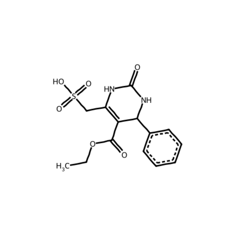 CCOC(=O)C1=C(CS(=O)(=O)O)NC(=O)NC1c1ccccc1